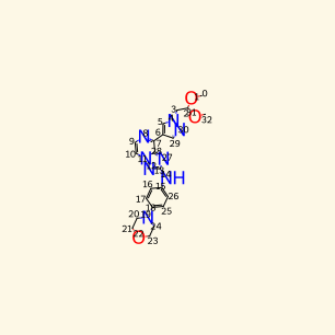 COC(Cn1cc(-c2nccn3nc(Nc4ccc(N5CCOCC5)cc4)nc23)cn1)OC